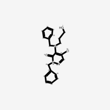 O=c1c(N(CCCO)Cc2ccccc2)c(Cl)cnn1Cc1ccccc1